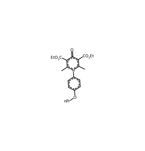 CCCOc1ccc(-n2c(C)c(C(=O)OCC)c(=O)c(C(=O)OCC)c2C)cc1